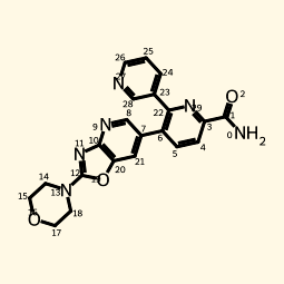 NC(=O)c1ccc(-c2cnc3nc(N4CCOCC4)oc3c2)c(-c2cccnc2)n1